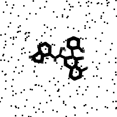 C[C@H](Nc1ncnc2[nH]cnc12)c1nc2cccc(F)c2c(=O)n1-c1ccccc1Cl